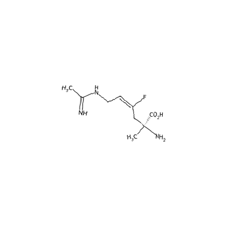 CC(=N)NC/C=C(/F)C[C@](C)(N)C(=O)O